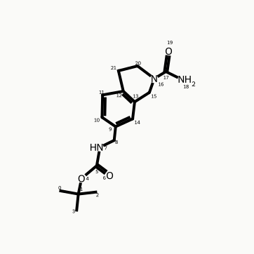 CC(C)(C)OC(=O)NCc1ccc2c(c1)CN(C(N)=O)CC2